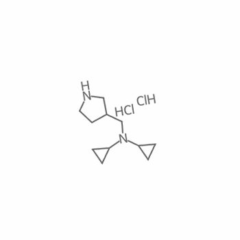 C1CC(CN(C2CC2)C2CC2)CN1.Cl.Cl